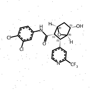 O=C(Nc1ccc(Cl)c(Cl)c1)[C@H]1[C@@H](c2ccnc(C(F)(F)F)c2)[C@H]2O[C@@H]1C[C@@H]2O